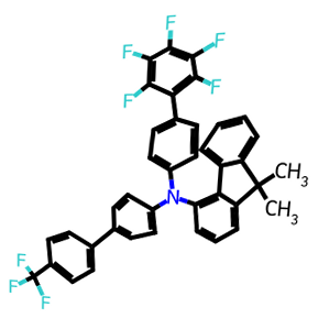 CC1(C)c2ccccc2-c2c(N(c3ccc(-c4ccc(C(F)(F)F)cc4)cc3)c3ccc(-c4c(F)c(F)c(F)c(F)c4F)cc3)cccc21